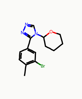 Cc1ccc(-c2nncn2C2CCCCO2)cc1Br